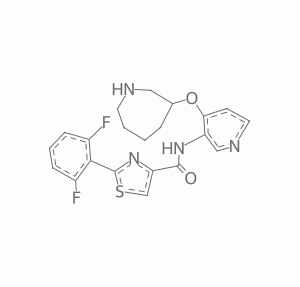 O=C(Nc1cnccc1OC1CCCCNC1)c1csc(-c2c(F)cccc2F)n1